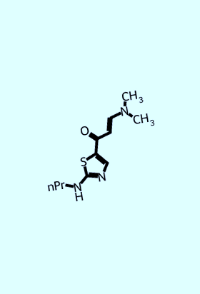 CCCNc1ncc(C(=O)/C=C/N(C)C)s1